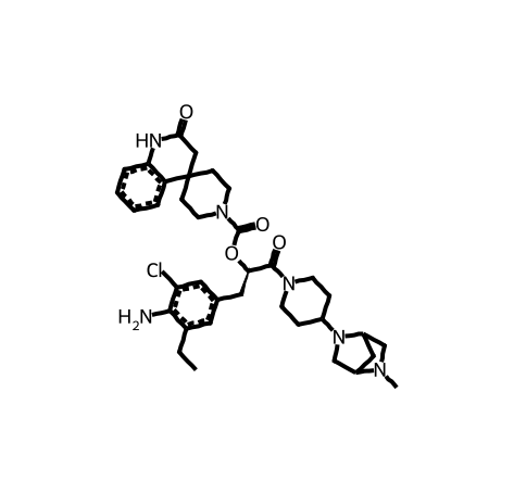 CCc1cc(C[C@@H](OC(=O)N2CCC3(CC2)CC(=O)Nc2ccccc23)C(=O)N2CCC(N3CC4CC3CN4C)CC2)cc(Cl)c1N